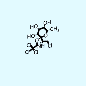 C[C@@H]1O[C@](OC(=N)C(Cl)(Cl)Cl)(C(=O)CCl)[C@H](O)[C@H](O)[C@H]1O